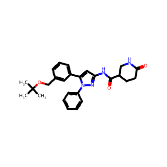 CC(C)(C)OCc1cccc(-c2cc(NC(=O)C3CCC(=O)NC3)nn2-c2ccccc2)c1